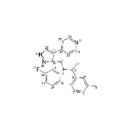 Cc1cccc(C(C)CCC2(c3ccccc3F)N=NC=C2c2ccncc2)c1